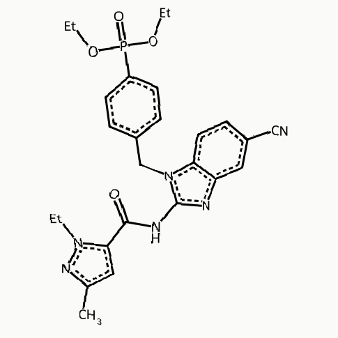 CCOP(=O)(OCC)c1ccc(Cn2c(NC(=O)c3cc(C)nn3CC)nc3cc(C#N)ccc32)cc1